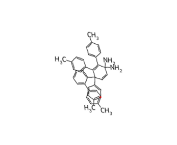 Cc1ccc(C2=C(c3ccc(C)cc3)C(c3ccc(C)cc3)(c3ccccc3-c3ccc(C)cc3)C=CC2(N)N)cc1